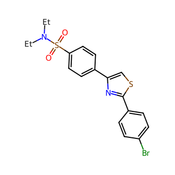 CCN(CC)S(=O)(=O)c1ccc(-c2csc(-c3ccc(Br)cc3)n2)cc1